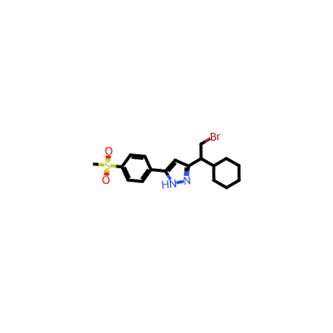 CS(=O)(=O)c1ccc(-c2cc(C(CBr)C3CCCCC3)n[nH]2)cc1